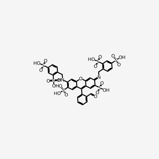 O=Cc1ccccc1-c1c2cc(S(=O)(=O)O)/c(=N/Cc3ccc(S(=O)(=O)O)cc3S(=O)(=O)O)cc-2oc2cc(NCc3ccc(S(=O)(=O)O)cc3S(=O)(=O)O)c(S(=O)(=O)O)cc12